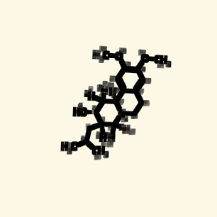 [2H]C1([2H])[C@@H](O)[C@@]([2H])(CC(C)C)C([2H])([2H])N2CCc3cc(OC)c(OC)cc3[C@@H]21